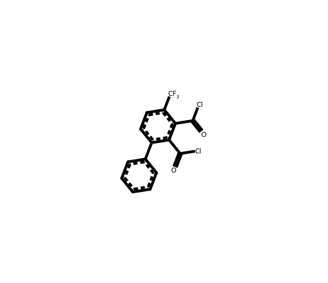 O=C(Cl)c1c(-c2ccccc2)ccc(C(F)(F)F)c1C(=O)Cl